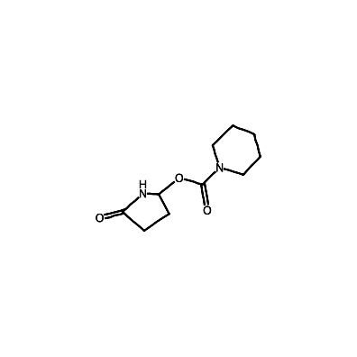 O=C1CCC(OC(=O)N2CCCCC2)N1